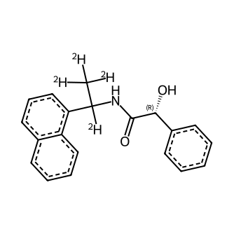 [2H]C([2H])([2H])C([2H])(NC(=O)[C@H](O)c1ccccc1)c1cccc2ccccc12